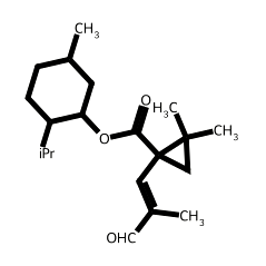 C/C(C=O)=C\C1(C(=O)OC2CC(C)CCC2C(C)C)CC1(C)C